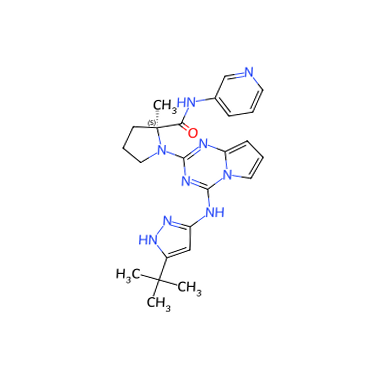 CC(C)(C)c1cc(Nc2nc(N3CCC[C@@]3(C)C(=O)Nc3cccnc3)nc3cccn23)n[nH]1